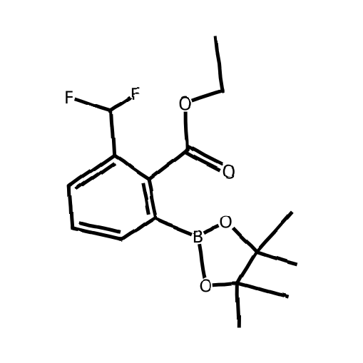 CCOC(=O)c1c(B2OC(C)(C)C(C)(C)O2)cccc1C(F)F